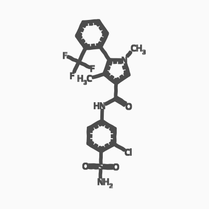 Cc1c(C(=O)Nc2ccc(S(N)(=O)=O)c(Cl)c2)cn(C)c1-c1ccccc1C(F)(F)F